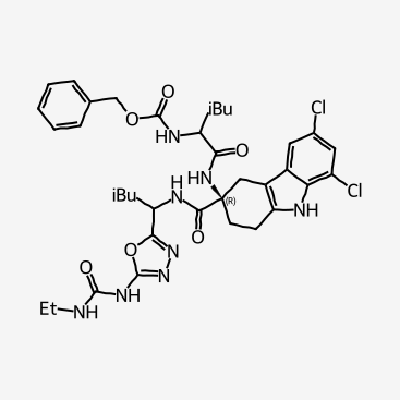 CCNC(=O)Nc1nnc(C(NC(=O)[C@@]2(NC(=O)C(NC(=O)OCc3ccccc3)C(C)CC)CCc3[nH]c4c(Cl)cc(Cl)cc4c3C2)C(C)CC)o1